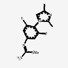 CS/C(N)=N\c1cc(F)c(-n2cc(C)nc2C)c(F)c1